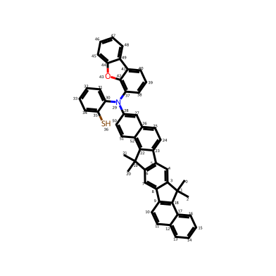 CC1(C)c2cc3c(cc2-c2ccc4ccccc4c21)C(C)(C)c1c-3ccc2cc(N(c3ccccc3S)c3cccc4c3oc3ccccc34)ccc12